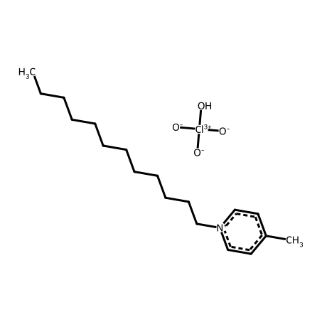 CCCCCCCCCCCC[n+]1ccc(C)cc1.[O-][Cl+3]([O-])([O-])O